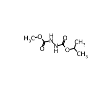 COC(=O)NNC(=O)OC(C)C